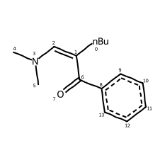 CCCC/C(=C/N(C)C)C(=O)c1ccccc1